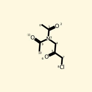 CC(=O)N(CC(=O)CCl)C(C)=O